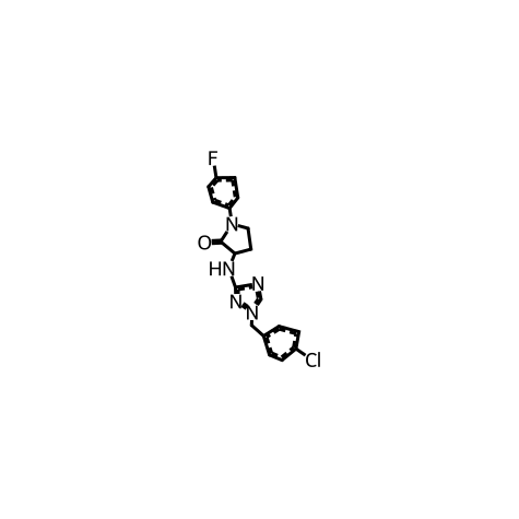 O=C1C(Nc2ncn(Cc3ccc(Cl)cc3)n2)CCN1c1ccc(F)cc1